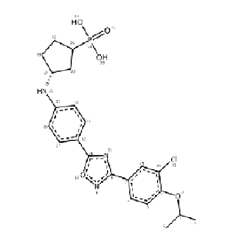 CC(C)Oc1ccc(-c2noc(-c3ccc(N[C@@H]4CCC(P(=O)(O)O)C4)cc3)n2)cc1Cl